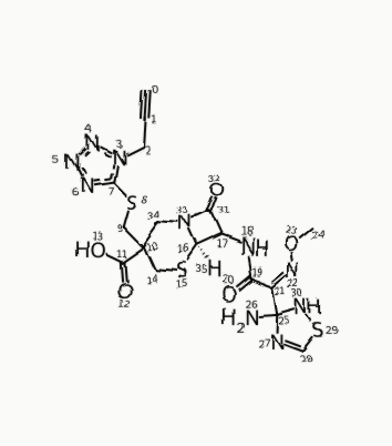 C#CCn1nnnc1SCC1(C(=O)O)CS[C@@H]2C(NC(=O)C(=NOC)C3(N)N=CSN3)C(=O)N2C1